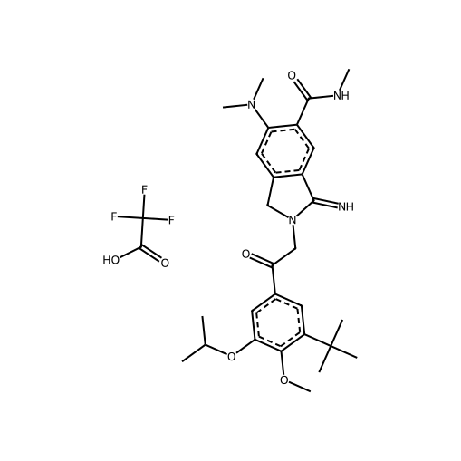 CNC(=O)c1cc2c(cc1N(C)C)CN(CC(=O)c1cc(OC(C)C)c(OC)c(C(C)(C)C)c1)C2=N.O=C(O)C(F)(F)F